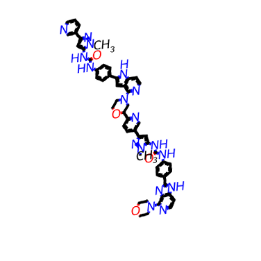 Cn1nc(-c2cccnc2)cc1NC(=O)Nc1ccc(-c2cc3c(N4CCOC(c5ccc(-c6cc(NC(=O)Nc7ccc(-c8nc9c(N%10CCOCC%10)nccc9[nH]8)cc7)n(C)n6)cn5)C4)nccc3[nH]2)cc1